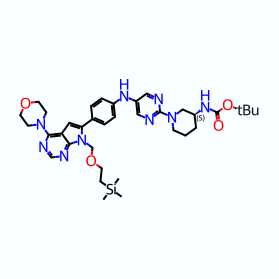 CC(C)(C)OC(=O)N[C@H]1CCCN(c2ncc(Nc3ccc(-c4cc5c(N6CCOCC6)ncnc5n4COCC[Si](C)(C)C)cc3)cn2)C1